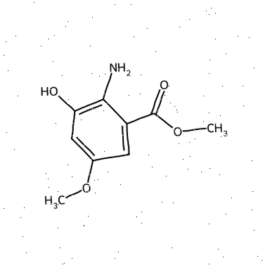 COC(=O)c1cc(OC)cc(O)c1N